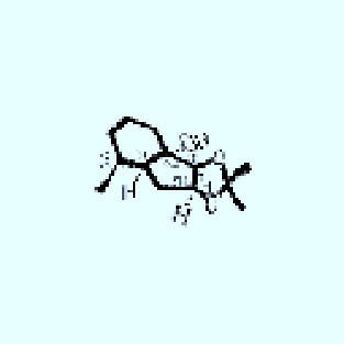 C[C@H]1CCC[C@]2(O)[C@H]1C[C@@H]1OC(C)(C)O[C@@H]12